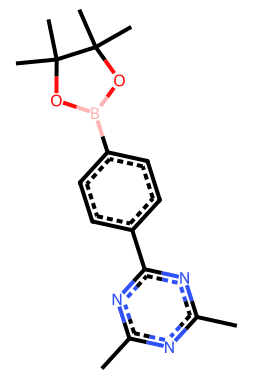 Cc1nc(C)nc(-c2ccc(B3OC(C)(C)C(C)(C)O3)cc2)n1